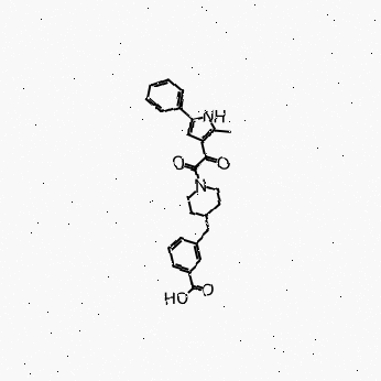 Cc1[nH]c(-c2ccccc2)cc1C(=O)C(=O)N1CCC(Cc2cccc(C(=O)O)c2)CC1